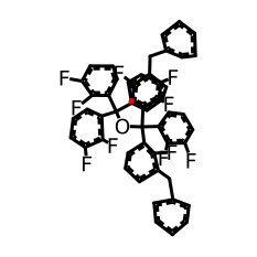 Fc1cccc(C(OC(c2cccc(F)c2F)(c2cccc(F)c2F)c2cccc(Cc3ccccc3)c2F)(c2cccc(F)c2F)c2cccc(Cc3ccccc3)c2F)c1F